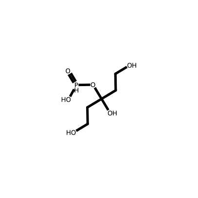 O=[PH](O)OC(O)(CCO)CCO